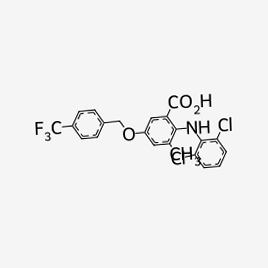 Cc1cc(OCc2ccc(C(F)(F)F)cc2)cc(C(=O)O)c1Nc1c(Cl)cccc1Cl